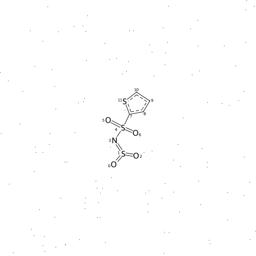 O=S(=O)=NS(=O)(=O)c1cccs1